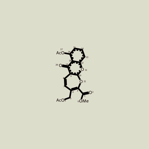 COC(=O)C1=C(COC(C)=O)C=Cc2c(oc3cccc(OC(C)=O)c3c2=O)O1